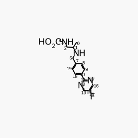 CC(CNC(=O)O)NCc1ccc(-c2ncc(F)cn2)cc1